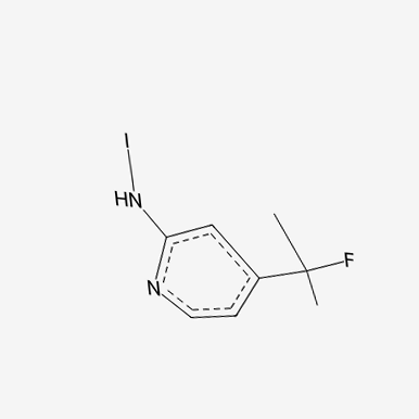 CC(C)(F)c1ccnc(NI)c1